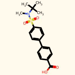 CN(C(C)(C)C)S(=O)(=O)c1ccc(-c2ccc(C(=O)O)cc2)cc1